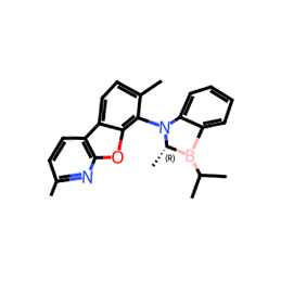 Cc1ccc2c(n1)oc1c(N3c4ccccc4B(C(C)C)[C@@H]3C)c(C)ccc12